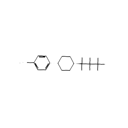 CCCCCc1ccc([C@H]2CC[C@H](C(F)(F)C(F)(F)C(F)(F)C(F)(F)F)CC2)cc1